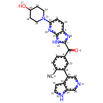 N#Cc1ccc(C(=O)c2nc3ccc(N4CCC(O)CC4)nc3[nH]2)cc1-c1cncc2[nH]ccc12